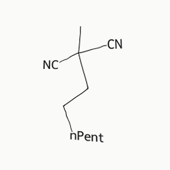 CCCCCCCC(C)(C#N)C#N